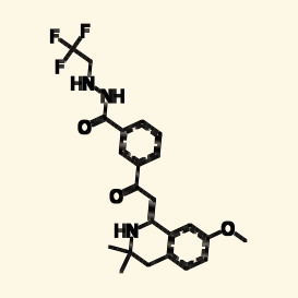 COc1ccc2c(c1)/C(=C/C(=O)c1cccc(C(=O)NNCC(F)(F)F)c1)NC(C)(C)C2